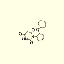 O=C1CC(=O)N(c2ccccc2Oc2ccccc2)C(=O)N1